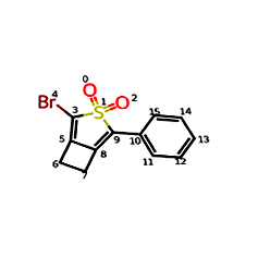 O=S1(=O)C(Br)=C2CCC2=C1c1ccccc1